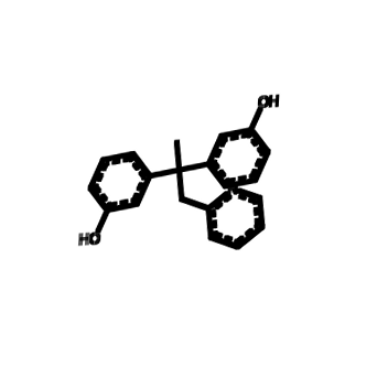 CC(Cc1ccccn1)(c1cccc(O)c1)c1cccc(O)c1